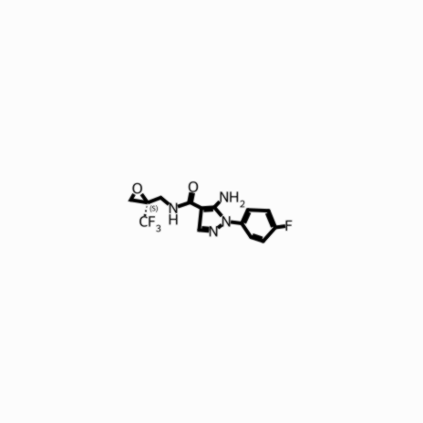 Nc1c(C(=O)NC[C@@]2(C(F)(F)F)CO2)cnn1-c1ccc(F)cc1